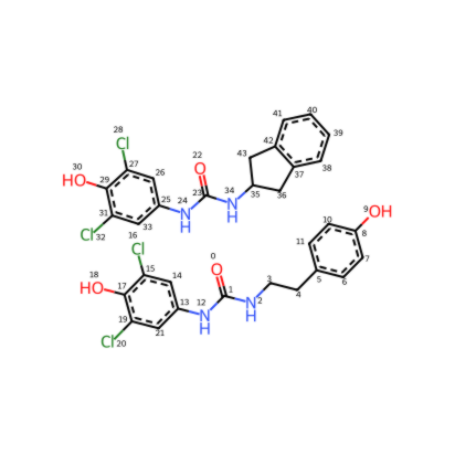 O=C(NCCc1ccc(O)cc1)Nc1cc(Cl)c(O)c(Cl)c1.O=C(Nc1cc(Cl)c(O)c(Cl)c1)NC1Cc2ccccc2C1